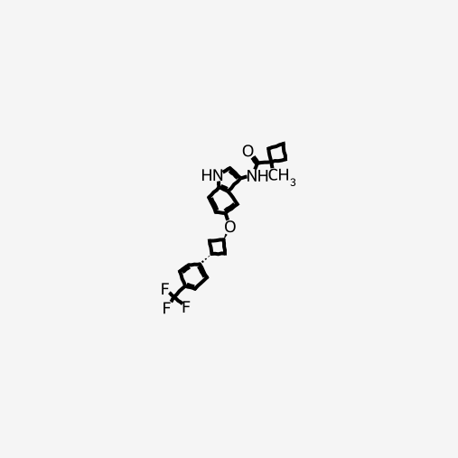 CC1(C(=O)Nc2c[nH]c3ccc(O[C@H]4C[C@@H](c5ccc(C(F)(F)F)cc5)C4)cc23)CCC1